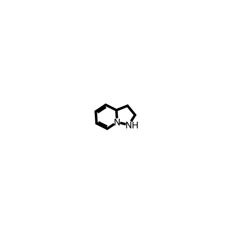 C1=CC2CCNN2C=C1